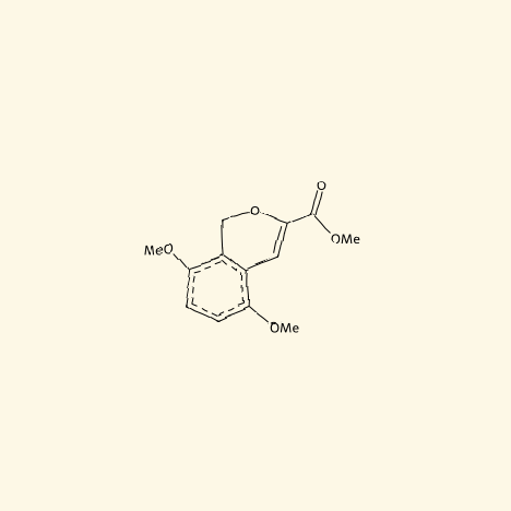 COC(=O)C1=Cc2c(OC)ccc(OC)c2CO1